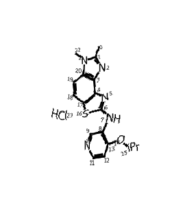 Cc1nc2c3nc(Nc4cnccc4OC(C)C)sc3ccc2n1C.Cl